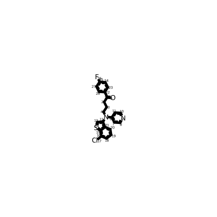 O=C(CCCN(c1ccncc1)c1csc2c(Cl)cccc12)c1ccc(F)cc1